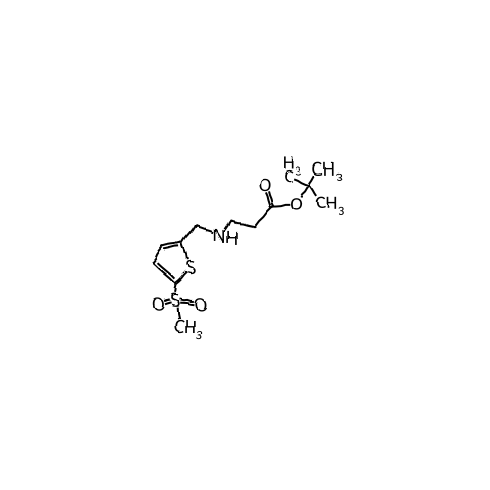 CC(C)(C)OC(=O)CCNCc1ccc(S(C)(=O)=O)s1